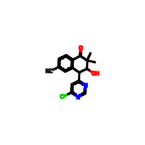 CC1(C)C(=O)c2ccc(C#N)cc2C(c2cc(Cl)ncn2)C1O